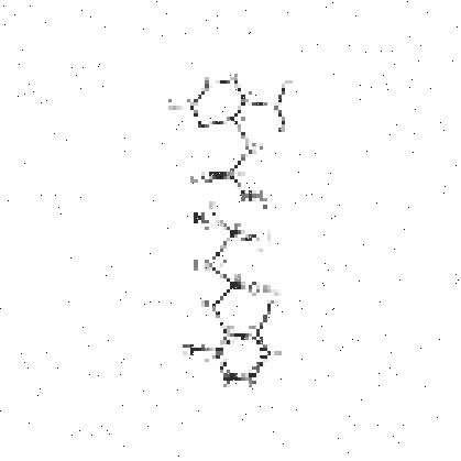 CC1CCC(C(C)C)C(OC(N)=O)C1.N=C(N)NC(=O)Cc1c(Cl)cccc1Cl